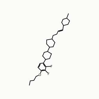 CCCCOc1ccc(C2CCC(C3CCC(CC/C=C/C4CCC(C)CC4)CC3)CC2)c(F)c1F